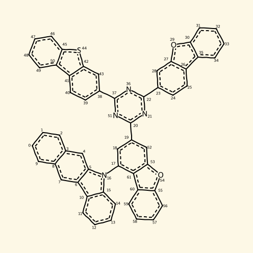 c1ccc2cc3c(cc2c1)c1ccccc1n3-c1cc(-c2nc(-c3ccc4c(c3)oc3ccccc34)nc(-c3ccc4c(c3)sc3ccccc34)n2)cc2oc3ccccc3c12